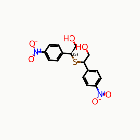 O=[N+]([O-])c1ccc(C(CO)S[C@H](CO)c2ccc([N+](=O)[O-])cc2)cc1